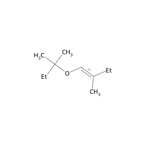 CC/C(C)=C/OC(C)(C)CC